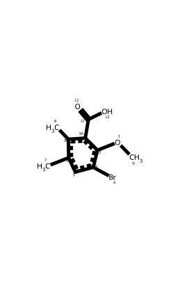 COc1c(Br)cc(C)c(C)c1C(=O)O